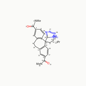 CNC(=O)c1ccc2c(c1)CCc1cc(C(=O)NC)ccc1C2(C[C@H](N)C(C)C)c1nnn[nH]1